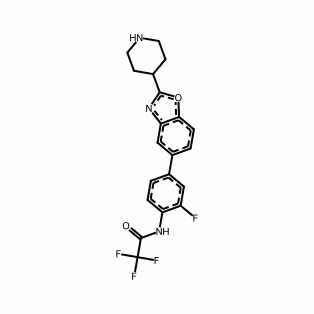 O=C(Nc1ccc(-c2ccc3oc(C4CCNCC4)nc3c2)cc1F)C(F)(F)F